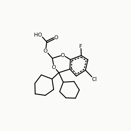 O=C(O)OC1Oc2c(F)cc(Cl)cc2C(C2CCCCC2)(C2CCCCC2)O1